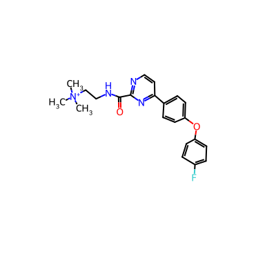 C[N+](C)(C)CCNC(=O)c1nccc(-c2ccc(Oc3ccc(F)cc3)cc2)n1